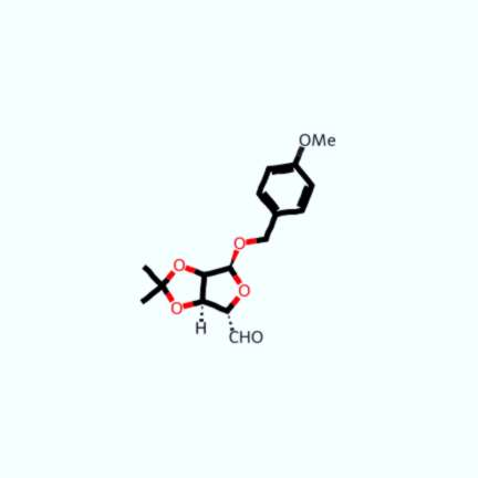 COc1ccc(CO[C@H]2O[C@H](C=O)[C@H]3OC(C)(C)OC23)cc1